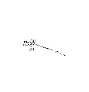 CCCCCCCCCCCCCCCCCCCCCCOC1O[C@H](CO)[C@@H](O)[C@H](O)[C@H]1O